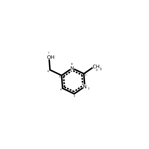 Cc1nccc(CO)n1